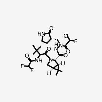 CC(C)(C)C(NC(=O)C(F)F)C(=O)N1C[C@H]2[C@@H]([C@H]1C(=O)NN(C[C@@H]1CCNC1=O)C(=O)C(F)Cl)C2(C)C